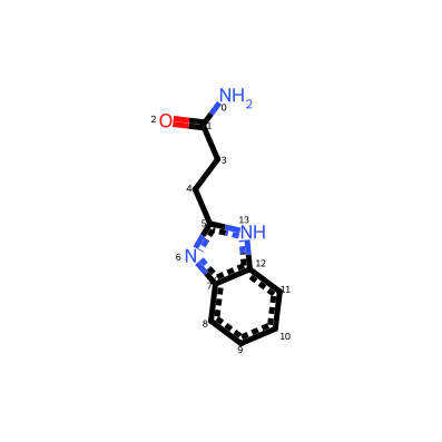 NC(=O)CCc1nc2ccccc2[nH]1